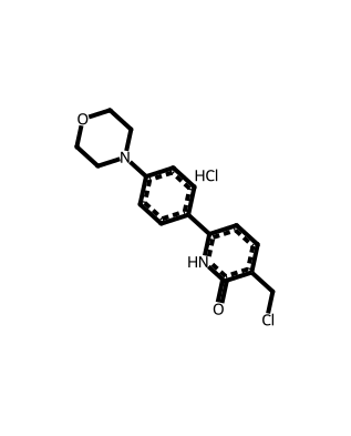 Cl.O=c1[nH]c(-c2ccc(N3CCOCC3)cc2)ccc1CCl